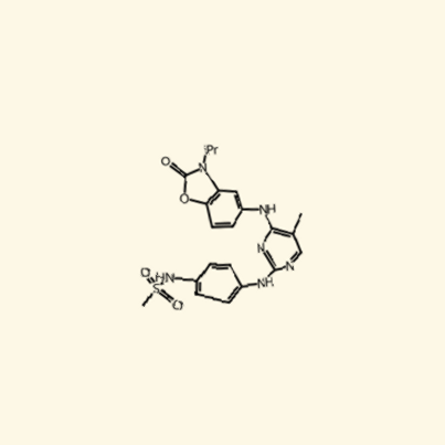 Cc1cnc(Nc2ccc(NS(C)(=O)=O)cc2)nc1Nc1ccc2oc(=O)n(C(C)C)c2c1